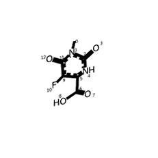 Cn1c(=O)[nH]c(C(=O)O)c(F)c1=O